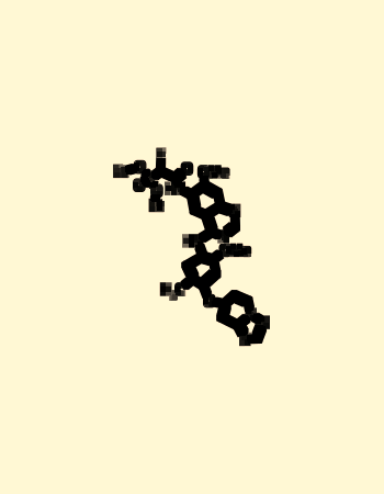 CCOP(=O)(OCC)C(F)C(=O)Nc1cc2c(Nc3cc(C)c(Oc4ccn5ncnc5c4)cc3OC)ncnc2cc1OC